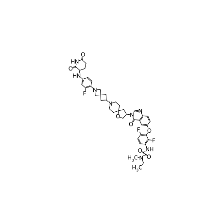 CCN(C)S(=O)(=O)Nc1ccc(F)c(Oc2ccc3ncn(C4COC5(CCN(C6CC7(C6)CN(c6ccc(NC8CCC(=O)NC8=O)cc6F)C7)CC5)C4)c(=O)c3c2)c1F